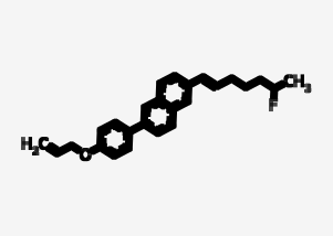 C=CCOc1ccc(-c2ccc3cc(C=CCCCC(C)F)ccc3c2)cc1